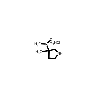 CN(C)C1(C)CCNC1.Cl